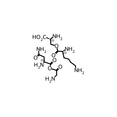 NCC(=O)OC(=O)[C@@H](N)CC(N)=O.NCCCC[C@H](N)C(=O)OC[C@H](N)C(=O)O